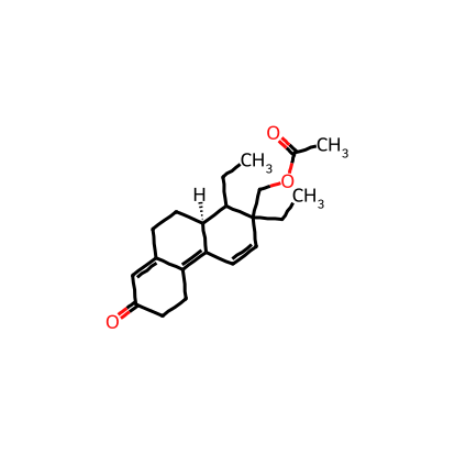 CCC1[C@@H]2CCC3=CC(=O)CCC3=C2C=CC1(CC)COC(C)=O